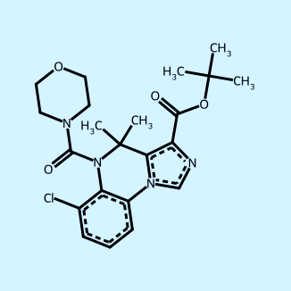 CC(C)(C)OC(=O)c1ncn2c1C(C)(C)N(C(=O)N1CCOCC1)c1c(Cl)cccc1-2